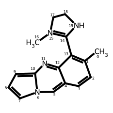 Cc1ccc2cn3cccc3nc2c1C1=[N+](C)CCN1